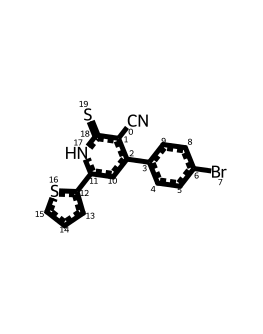 N#Cc1c(-c2ccc(Br)cc2)cc(-c2cccs2)[nH]c1=S